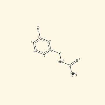 NC(=S)NCc1cccc(F)c1